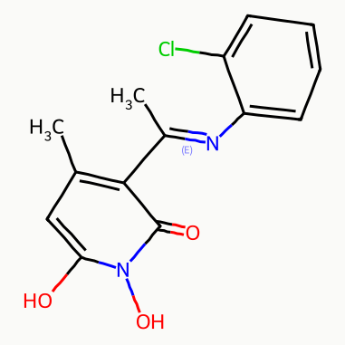 C/C(=N\c1ccccc1Cl)c1c(C)cc(O)n(O)c1=O